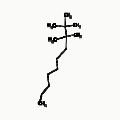 CCCCCCCC(C)(C)C(C)(C)C